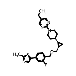 CCc1cnc(N2CCC([C@H]3C[C@H]3COCc3ccc(-c4cnc(C)s4)cc3F)CC2)nc1